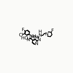 O/N=C(\Nc1ccc(F)c(Cl)c1)c1ccnc2nc(NCCN3CCCC(F)C3)[nH]c12